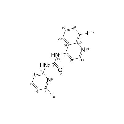 O=C(Nc1cccc(I)n1)Nc1ccnc2c(F)cccc12